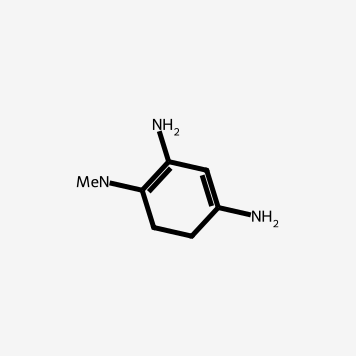 CNC1=C(N)C=C(N)CC1